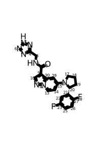 O=C(NCc1nn[nH]n1)c1cnn2ccc(N3CCC[C@@H]3c3cc(F)ccc3F)cc12